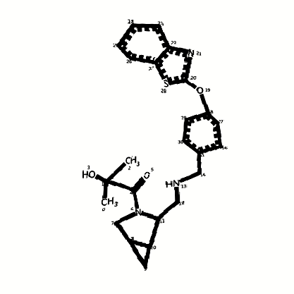 CC(C)(O)C(=O)N1CC2CC2C1CNCc1ccc(Oc2nc3ccccc3s2)cc1